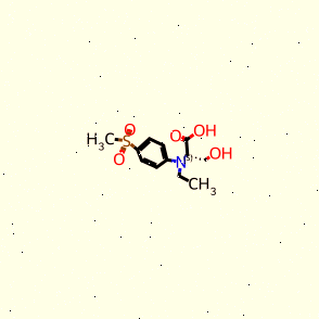 CCN(c1ccc(S(C)(=O)=O)cc1)[C@@H](CO)C(=O)O